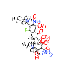 CN(C)[C@@H]1C(O)=C(C(N)=O)C(=O)[C@@]2(O)C(O)=C3C(=O)c4c(O)c5c(c(F)c4C[C@H]3C[C@@H]12)CN(C(C)(C)C)CC(=O)N5